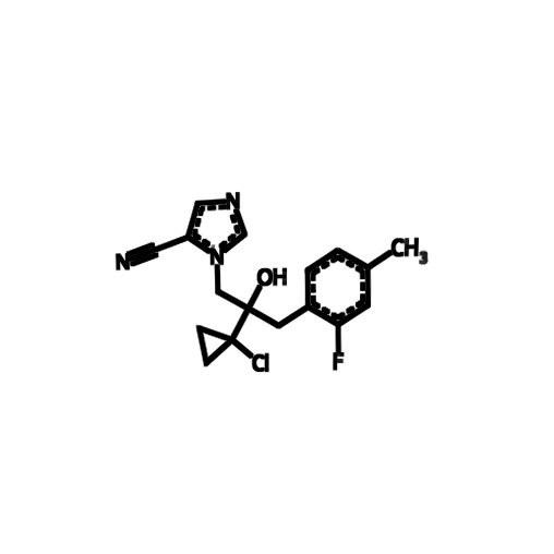 Cc1ccc(CC(O)(Cn2cncc2C#N)C2(Cl)CC2)c(F)c1